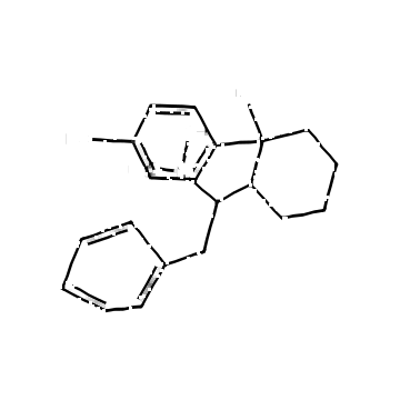 CN(C)C(Cc1ccccc1)C1CCCCC1(O)c1ccc(O)cc1